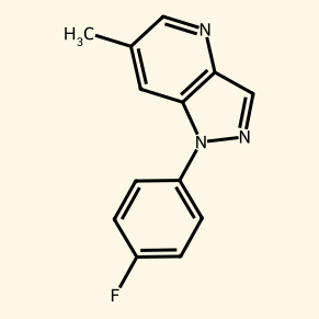 Cc1cnc2cnn(-c3ccc(F)cc3)c2c1